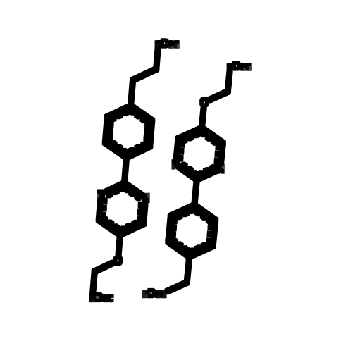 CCCCCCCCCCCCc1ccc(-c2ncc(OCCCCCCCCCCC)cn2)cc1.CCCCCCCCCCCOc1cnc(-c2ccc(CCCCCCCCCCC)cc2)nc1